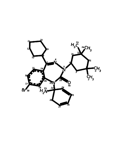 CC1(C)CC(N2N=C(C3CCCCC3)c3ccc(Br)cc3N(C3(N)C=CC=CC3)C2=O)CC(C)(C)C1